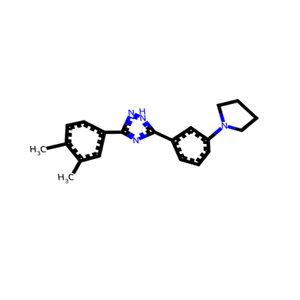 Cc1ccc(-c2n[nH]c(-c3cccc(N4CCCC4)c3)n2)cc1C